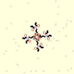 C=CC(=O)N(CCC[Si]1(C)O[Si](C)(CCCN(C(=O)C=C)C(=O)C=C)O[Si](C)(CCCN(C(=O)C=C)C(=O)C=C)O[Si](C)(CCCN(C(=O)C=C)C(=O)C=C)O1)C(=O)C=C